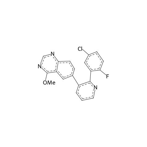 COc1ncnc2ccc(-c3cccnc3-c3cc(Cl)ccc3F)cc12